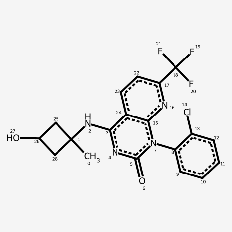 CC1(Nc2nc(=O)n(-c3ccccc3Cl)c3nc(C(F)(F)F)ccc23)CC(O)C1